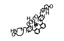 COc1nc(-c2cccc(-c3cccc(-c4cnc(CN5CC6(CCC(=O)N6)C5)c(OC)n4)c3Br)c2F)cnc1CN1CCCCC(=O)NCC1